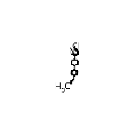 CCCCc1ccc(C2CCC(c3ccc(Cl)nc3)CC2)cc1